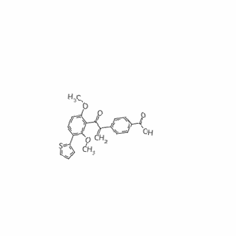 C=C(C(=O)c1c(OC)ccc(-c2cccs2)c1OC)c1ccc(C(=O)O)cc1